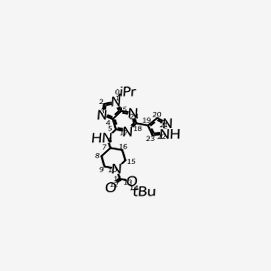 CC(C)n1cnc2c(NC3CCN(C(=O)OC(C)(C)C)CC3)nc(-c3cn[nH]c3)nc21